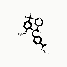 COC(=O)c1ccc(CN(C(=O)N2CCOCC2)c2cc(C(F)(F)F)ccc2OC)cc1